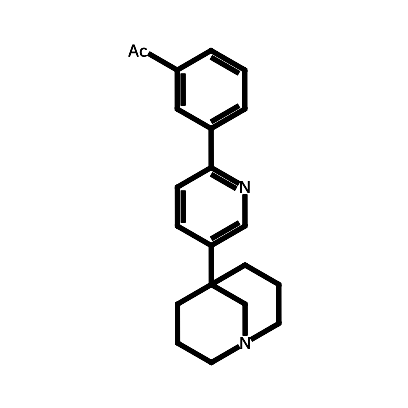 CC(=O)c1cccc(-c2ccc(C34CCCN(CCC3)C4)cn2)c1